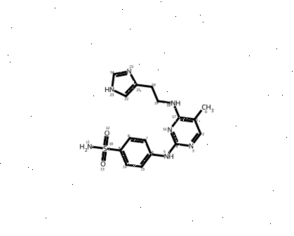 Cc1cnc(Nc2ccc(S(N)(=O)=O)cc2)nc1NCCc1c[nH]cn1